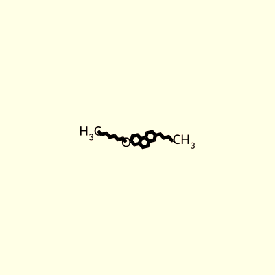 CCCCCCCOC1CCC2C(CCC3CC(CCCCC)CCC32)C1